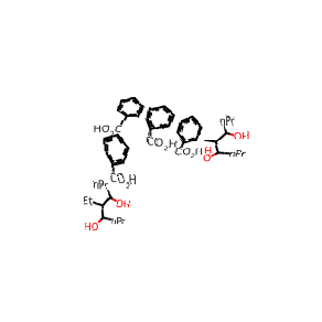 CCCC(O)C(C)C(O)CCC.CCCC(O)C(CC)C(O)CCC.O=C(O)c1ccccc1.O=C(O)c1ccccc1.O=C(O)c1ccccc1.O=C(O)c1ccccc1